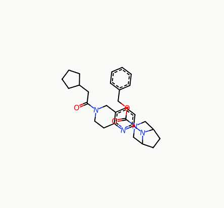 O=C(CC1CCCC1)N1CCc2nc(N3C4CCC3CN(C(=O)OCc3ccccc3)C4)ccc2C1